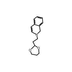 C1=CN(CCC2OCCCO2)Cc2ccccc21